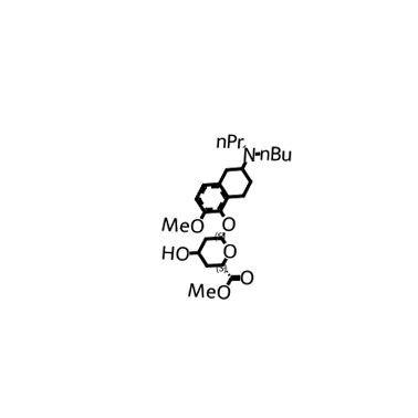 CCCCN(CCC)C1CCc2c(ccc(OC)c2O[C@H]2CC(O)C[C@@H](C(=O)OC)O2)C1